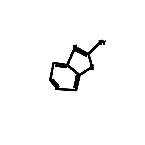 CC(C)c1nc2cc[c]cc2s1